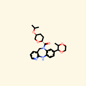 CC(C)O[C@H]1CC[C@H](C(=O)N2Cc3cccnc3Nc3ccc(C4OCCOC4C)cc32)OC1